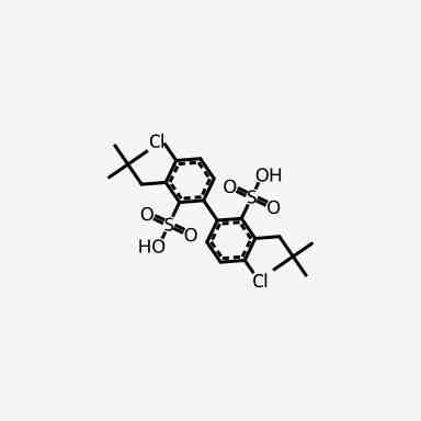 CC(C)(C)Cc1c(Cl)ccc(-c2ccc(Cl)c(CC(C)(C)C)c2S(=O)(=O)O)c1S(=O)(=O)O